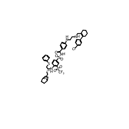 O=C(NS(=O)(=O)c1ccc(N[C@H](CCN2C3CCC2CC3)CSc2ccccc2)c(S(=O)(=O)C(F)(F)F)c1)c1ccc(NCCNCC2=C(c3ccc(Cl)cc3)CCCC2)cc1